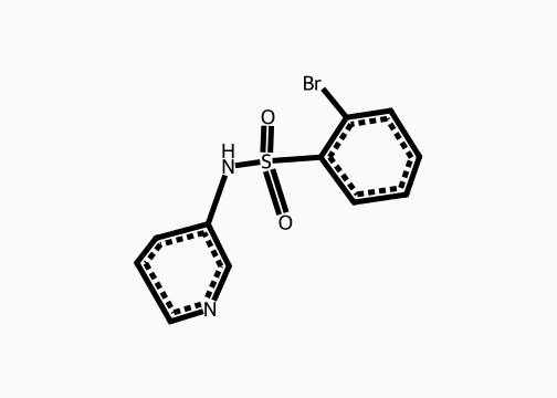 O=S(=O)(Nc1cccnc1)c1ccccc1Br